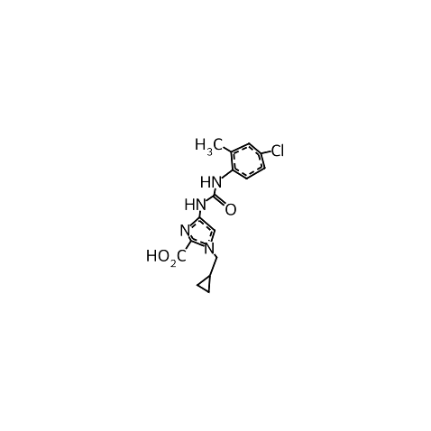 Cc1cc(Cl)ccc1NC(=O)Nc1cn(CC2CC2)c(C(=O)O)n1